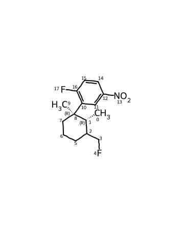 C[C@@H]1C(CF)CCC[C@@]1(C)c1cc([N+](=O)[O-])ccc1F